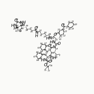 CC(C)CCN(C(=O)N[C@@H](Cc1ccc(C(=O)c2ccccc2)cc1)C(=O)NCCCCCNC(=O)CCCC[C@@H]1SC[C@@H]2NC(=O)N[C@@H]21)C(=O)[C@H](Cc1ccccc1)C[C@@H](O)[C@H](Cc1ccccc1)NC(=O)OC(C)(C)C